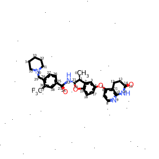 C[C@H]1c2cc(Oc3ccnc4c3CCC(=O)N4)ccc2O[C@H]1NC(=O)c1ccc(CN2CCCCC2)c(C(F)(F)F)c1